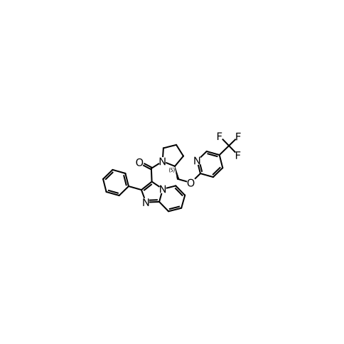 O=C(c1c(-c2ccccc2)nc2ccccn12)N1CCC[C@H]1COc1ccc(C(F)(F)F)cn1